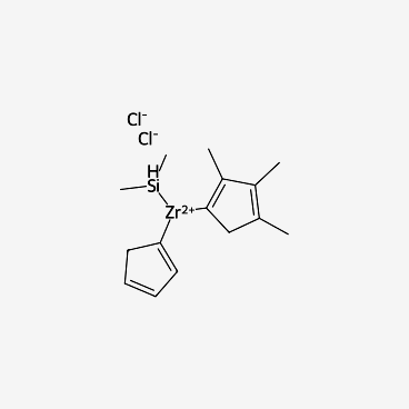 CC1=C(C)C(C)=[C]([Zr+2]([C]2=CC=CC2)[SiH](C)C)C1.[Cl-].[Cl-]